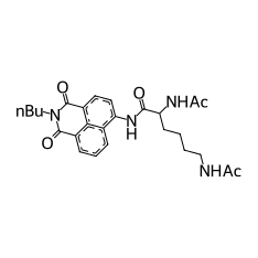 CCCCN1C(=O)c2cccc3c(NC(=O)C(CCCCNC(C)=O)NC(C)=O)ccc(c23)C1=O